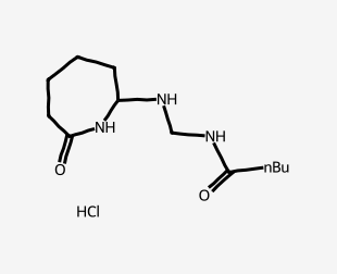 CCCCC(=O)NCNC1CCCCC(=O)N1.Cl